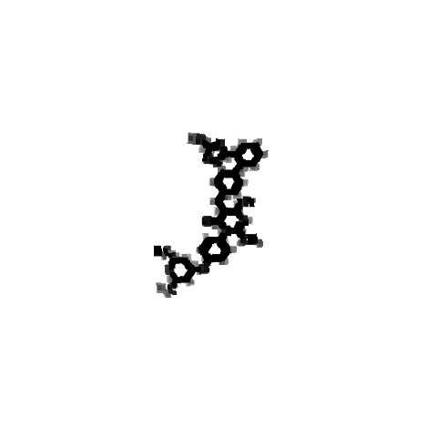 CCCc1nc(C)n(-c2ccc(O[C@@H]3C[C@@H](C)O[C@@H](C)C3)cc2)c(=O)c1Cc1ccc(-c2ccccc2-c2noc(O)n2)cc1